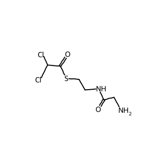 NCC(=O)NCCSC(=O)C(Cl)Cl